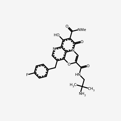 CNC(=O)c1c(O)c2ncc(Cc3ccc(F)cc3)c3c2n(c1=O)C=C(C(=O)NCC(C)(C)N)O3